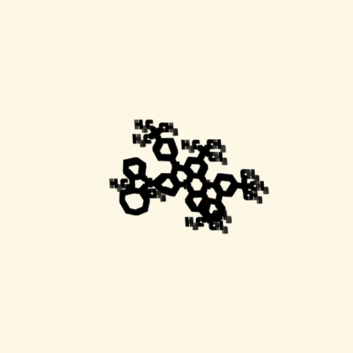 CC(C)(C)c1ccc(N2c3cc(N4c5ccccc5C5(C)CCCCCCC45C)ccc3B3c4ccc(C(C)(C)C)cc4N(c4ccc(C(C)(C)C)cc4-c4ccccc4)c4cc(C(C)(C)C)cc2c43)cc1